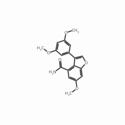 COc1cc(OC)cc(-c2coc3cc(OC)cc(C(N)=O)c23)c1